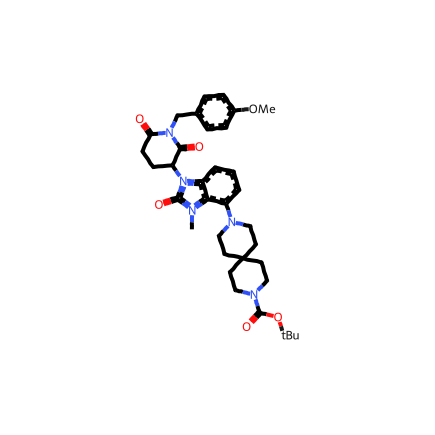 COc1ccc(CN2C(=O)CCC(n3c(=O)n(C)c4c(N5CCC6(CCN(C(=O)OC(C)(C)C)CC6)CC5)cccc43)C2=O)cc1